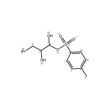 Cc1ccc(S(=O)(=O)OC(O)C(O)CC(C)C)cc1